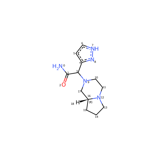 NC(=O)C(c1cc[nH]n1)N1CCN2CCC[C@@H]2C1